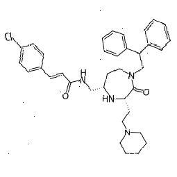 O=C(/C=C/c1ccc(Cl)cc1)NC[C@@H]1CCN(CC(c2ccccc2)c2ccccc2)C(=O)[C@H](CCN2CCCCC2)N1